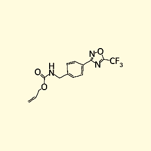 C=CCOC(=O)NCc1ccc(-c2noc(C(F)(F)F)n2)cc1